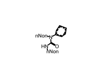 CCCCCCCCCNC(=O)N(CCCCCCCCC)c1ccccc1